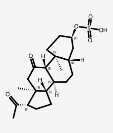 CC(=O)[C@H]1CC[C@H]2[C@@H]3CC[C@H]4C[C@H](OS(=O)(=O)O)CC[C@]4(C)[C@H]3C(=O)C[C@]12C